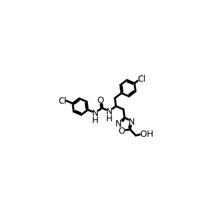 O=C(Nc1ccc(Cl)cc1)NC(Cc1ccc(Cl)cc1)Cc1noc(CO)n1